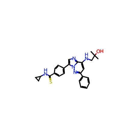 CC(C)(O)CNc1cc(-c2ccccc2)nn2c(-c3ccc(C(=S)NC4CC4)cc3)cnc12